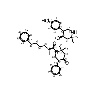 CC1(C)CC(=O)C(c2ccccc2)CN1.CC1(C)CC(=O)C(c2ccccc2)CN1C(=O)NCCCCc1ccccc1.Cl